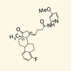 COc1ccnc(NC(=O)CCC[C@@H]2CC(=O)[C@@]3(C)CCC4c5cccc(F)c5CCC4C23)c1